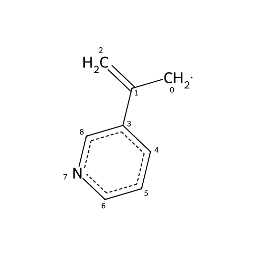 [CH2]C(=C)c1cccnc1